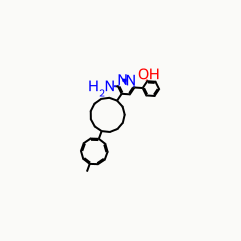 Cc1ccccc(C2CCCCCCC(c3cc(-c4ccccc4O)nnc3N)CCCCC2)cccc1